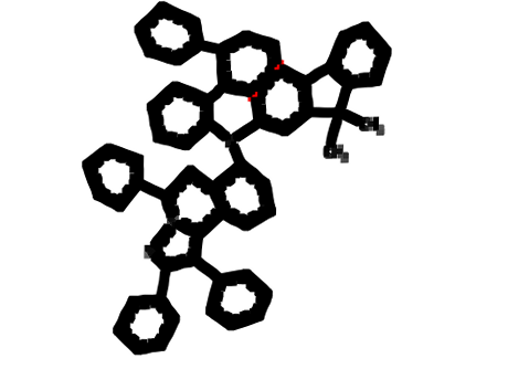 CC1(C)c2ccccc2-c2ccc(N(c3ccccc3-c3ccccc3-c3ccccc3)c3cccc4c3cc(-c3ccccc3)n3nc(-c5ccccc5)c(-c5ccccc5)c43)cc21